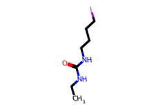 CCNC(=O)NCCCCI